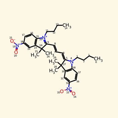 CCCCN1/C(=C/C=C/C2=[N+](CCCC)c3ccc([N+](=O)[O-])cc3C2(C)C)C(C)(C)c2cc([N+](=O)[O-])ccc21